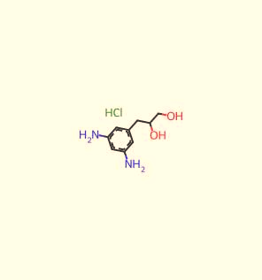 Cl.Nc1cc(N)cc(CC(O)CO)c1